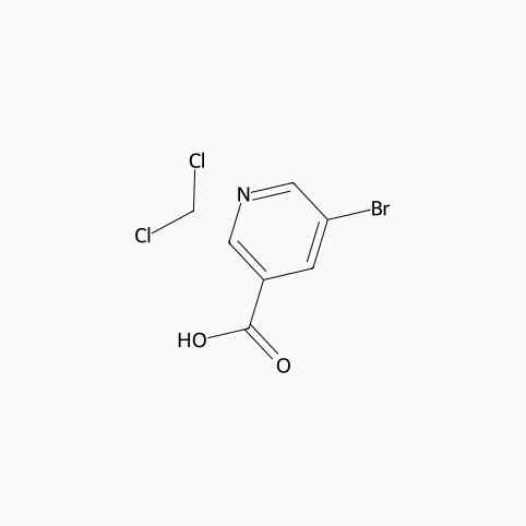 ClCCl.O=C(O)c1cncc(Br)c1